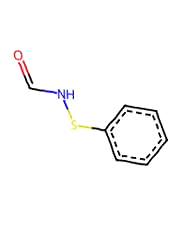 O=CNSc1ccccc1